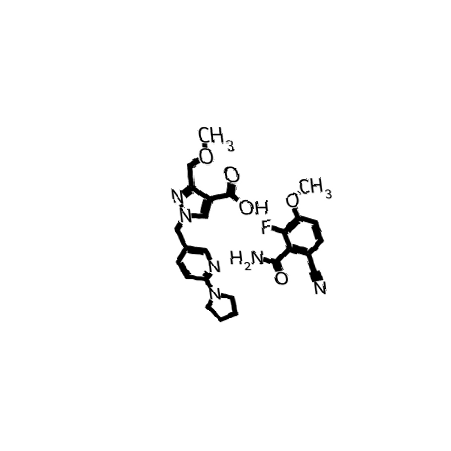 COCc1nn(Cc2ccc(N3CCCC3)nc2)cc1C(=O)O.COc1ccc(C#N)c(C(N)=O)c1F